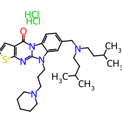 CC(C)CCN(CCC(C)C)Cc1ccc2c(c1)n(CCCN1CCCCC1)c1nc3sccc3c(=O)n21.Cl.Cl